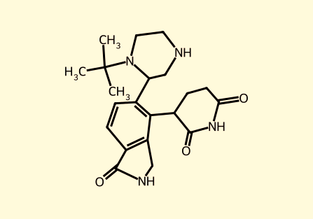 CC(C)(C)N1CCNCC1c1ccc2c(c1C1CCC(=O)NC1=O)CNC2=O